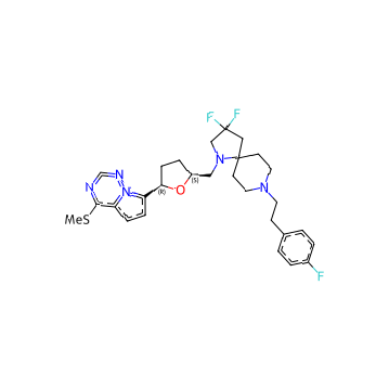 CSc1ncnn2c([C@H]3CC[C@@H](CN4CC(F)(F)CC45CCN(CCc4ccc(F)cc4)CC5)O3)ccc12